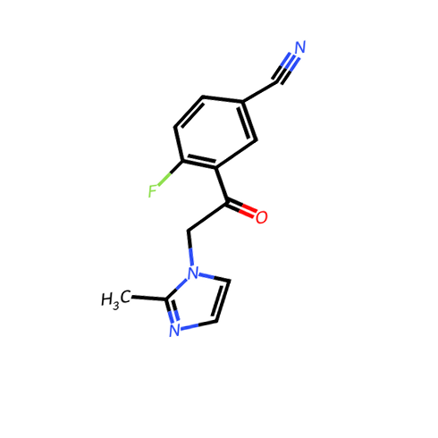 Cc1nccn1CC(=O)c1cc(C#N)ccc1F